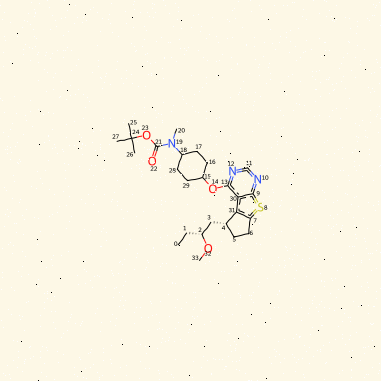 CC[C@H](C[C@H]1CCc2sc3ncnc(OC4CCC(N(C)C(=O)OC(C)(C)C)CC4)c3c21)OC